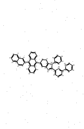 C1=C(c2c3ccccc3c(-c3ccc4ccccc4c3)c3ccccc23)CCc2c1nc(-c1cccc(-c3ccccn3)n1)n2-c1ccccc1